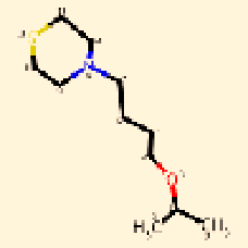 CC(C)OCCCCN1CCSCC1